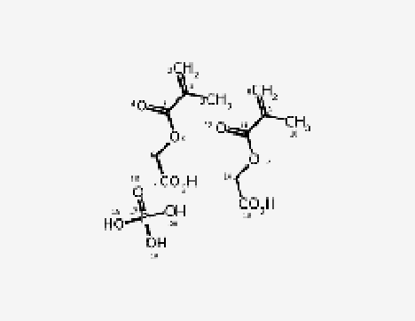 C=C(C)C(=O)OCC(=O)O.C=C(C)C(=O)OCC(=O)O.O=P(O)(O)O